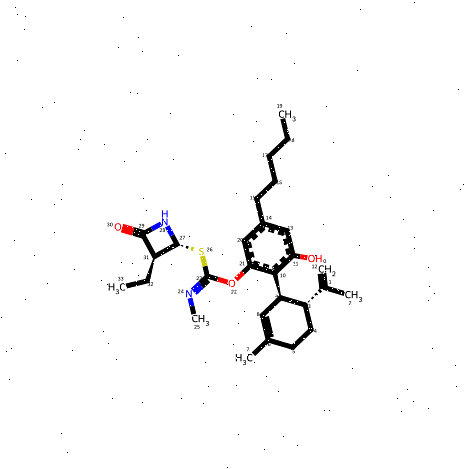 C=C(C)[C@@H]1CCC(C)=C[C@H]1c1c(O)cc(CCCCC)cc1O/C(=N\C)S[C@H]1NC(=O)[C@@H]1CC